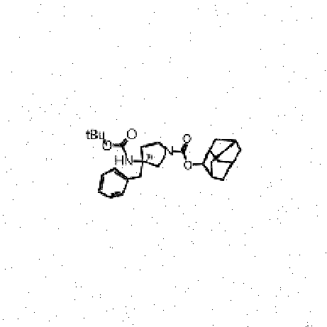 CC(C)(C)OC(=O)N[C@]1(Cc2ccccc2)CCN(C(=O)OC2C3CC4CC(C3)CC2C4)C1